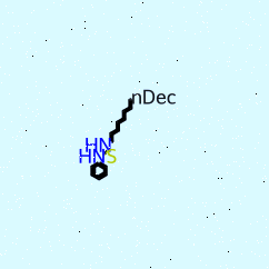 CCCCCCCCCCCCCCCCCCNC(=S)Nc1ccccc1